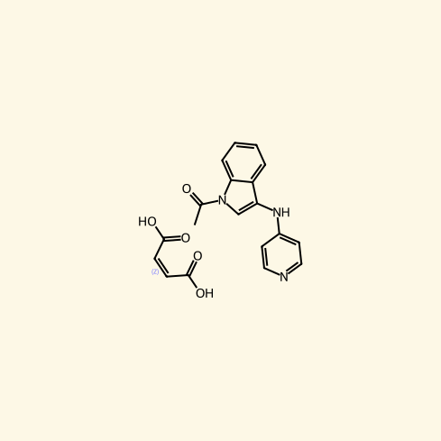 CC(=O)n1cc(Nc2ccncc2)c2ccccc21.O=C(O)/C=C\C(=O)O